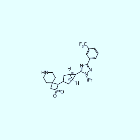 CC(C)n1nc(-c2cccc(C(F)(F)F)c2)nc1C1[C@H]2CC(C3C4(CCNCC4)CS3(=O)=O)C[C@@H]12